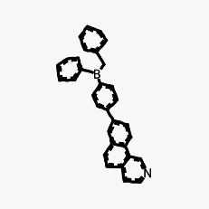 c1ccc(CB(c2ccccc2)c2ccc(-c3ccc4c(ccc5ccncc54)c3)cc2)cc1